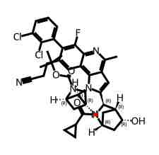 Cc1nc2c(F)c(-c3cccc(Cl)c3Cl)c(CCC#N)cc2c2c1cc([C@H]1[C@H]3C[C@H](C[C@H]3O)N1C(=O)C1CC1)n2[C@H]1[C@@H]2C[C@H]1N(C(=O)OC(C)(C)C)C2